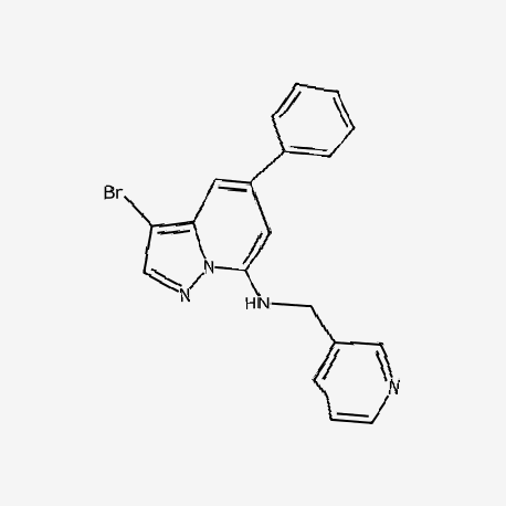 Brc1cnn2c(NCc3cccnc3)cc(-c3ccccc3)cc12